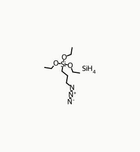 CCO[Si](CCCN=[N+]=[N-])(OCC)OCC.[SiH4]